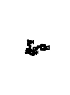 CNCCc1cn(C)c2ccc(F)c(OCCc3ccc(Cl)cc3)c12